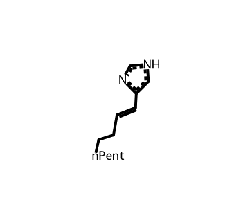 CCCCCCC/C=C/c1c[nH]cn1